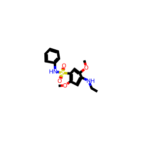 CCNc1cc(OC)c(S(=O)(=O)Nc2ccccc2)cc1OC